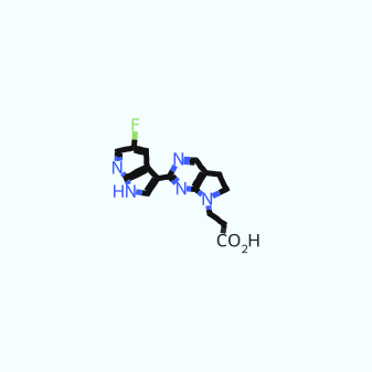 O=C(O)CCN1CCc2cnc(-c3c[nH]c4ncc(F)cc34)nc21